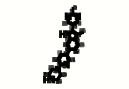 Cc1ncc(-c2[nH]c3cc(-c4ccc(N5CCNCC5)nc4)ccc3c2C)cn1